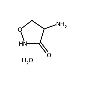 NC1CONC1=O.O